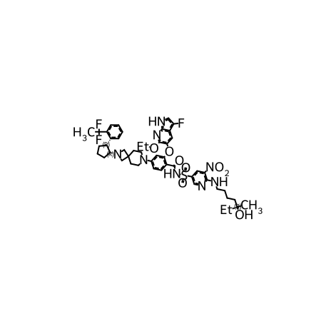 CCOc1nc2[nH]cc(F)c2cc1Oc1cc(N2CCC3(CC2)CN([C@@H]2CCC[C@@H]2c2ccccc2C(C)(F)F)C3)ccc1C(=O)NS(=O)(=O)c1cnc(NCCCC[C@](C)(O)CC)c([N+](=O)[O-])c1